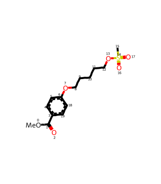 COC(=O)c1ccc(OCCCCCOS(C)(=O)=O)cc1